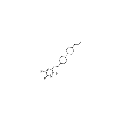 CCC[C@H]1CC[C@H](C2CCC(CCc3cc(F)c(F)nc3F)CC2)CC1